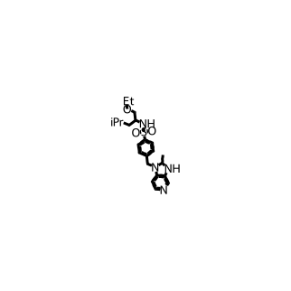 CCOCC(CC(C)C)NS(=O)(=O)c1ccc(CN2c3ccncc3NC2C)cc1